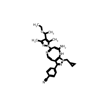 CCOC(C)c1c(C)nn(-c2cc(N)[nH]c3c(ccn2)c(-c2ccc(C#N)cc2)nn3CC2CC2)c1C